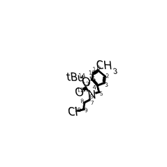 Cc1ccc(CN(CCCCl)C(=O)OC(C)(C)C)cc1